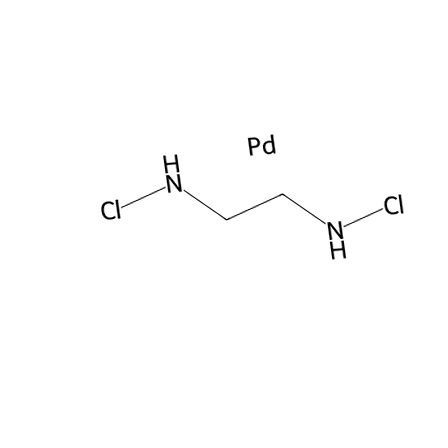 ClNCCNCl.[Pd]